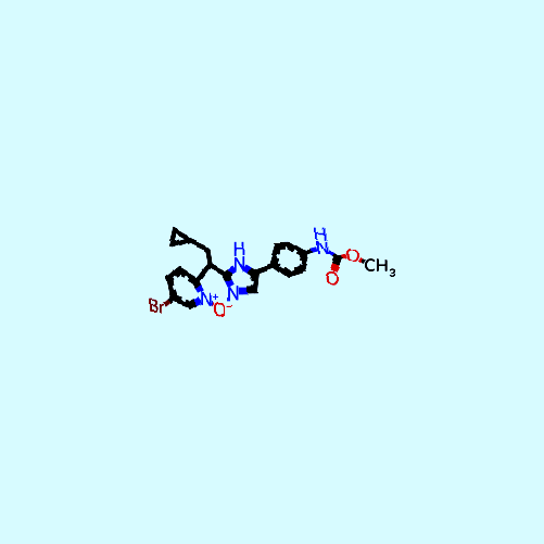 COC(=O)Nc1ccc(-c2cnc(C(CC3CC3)c3ccc(Br)c[n+]3[O-])[nH]2)cc1